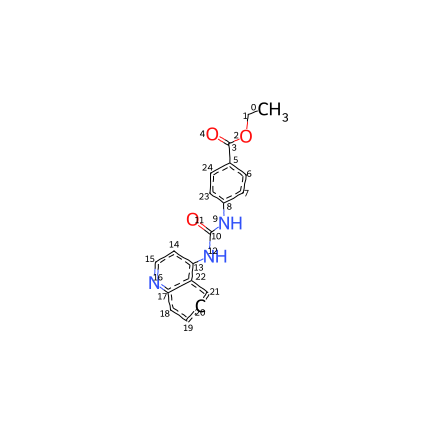 CCOC(=O)c1ccc(NC(=O)Nc2ccnc3ccccc23)cc1